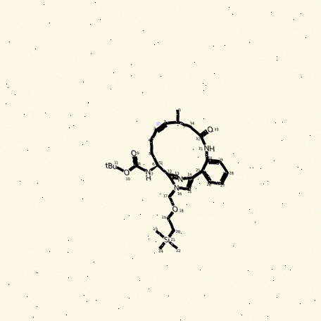 CC1/C=C\CC[C@H](NC(=O)OC(C)(C)C)c2nc(cn2COCC[Si](C)(C)C)-c2ccccc2NC(=O)C1